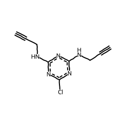 C#CCNc1nc(Cl)nc(NCC#C)n1